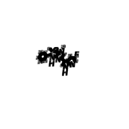 CC[C@H](Nc1nc(-c2c[nH]c3ncc(F)cc23)cn(C)c1=O)c1ccccc1